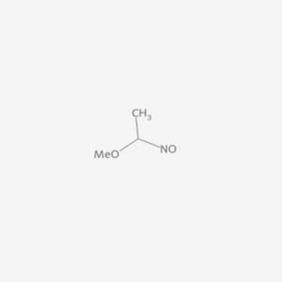 COC(C)N=O